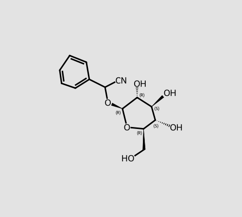 N#CC(O[C@@H]1O[C@H](CO)[C@@H](O)[C@H](O)[C@H]1O)c1ccccc1